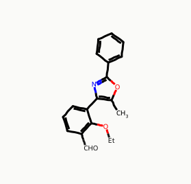 CCOc1c(C=O)cccc1-c1nc(-c2ccccc2)oc1C